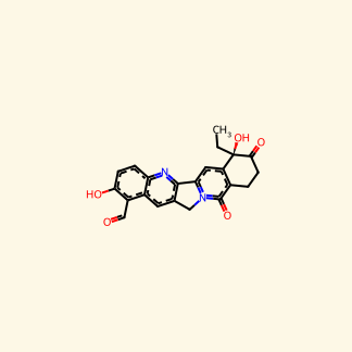 CC[C@]1(O)C(=O)CCc2c1cc1n(c2=O)Cc2cc3c(C=O)c(O)ccc3nc2-1